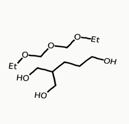 CCOCOCOCC.OCCCC(CO)CO